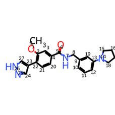 COc1cc(C(=O)NCc2cccc(N3CCCC3)c2)ccc1-c1cn[nH]c1